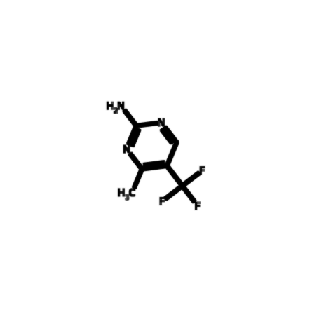 Cc1nc(N)ncc1C(F)(F)F